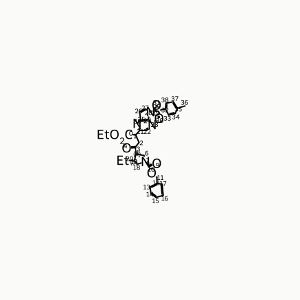 CCOC(=O)C(CC(=O)[C@H]1CN(C(=O)OCc2ccccc2)C[C@H]1CC)c1cnc2c(ccn2S(=O)(=O)c2ccc(C)cc2)n1